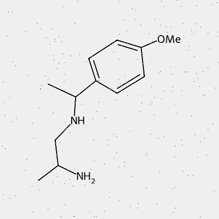 COc1ccc(C(C)NCC(C)N)cc1